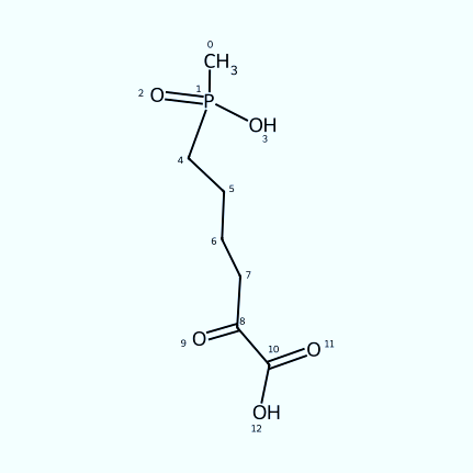 CP(=O)(O)CCCCC(=O)C(=O)O